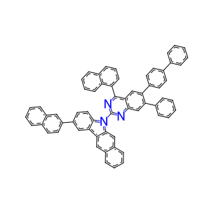 c1ccc(-c2ccc(-c3cc4c(-c5cccc6ccccc56)nc(-n5c6ccc(-c7ccc8ccccc8c7)cc6c6cc7ccccc7cc65)nc4cc3-c3ccccc3)cc2)cc1